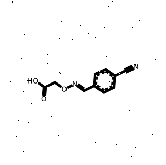 N#Cc1ccc(C=NOCC(=O)O)cc1